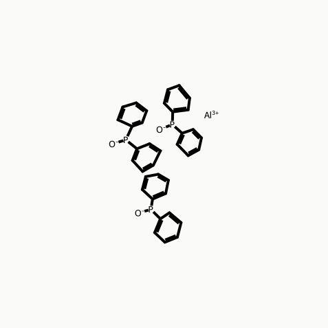 [Al+3].[O-]P(c1ccccc1)c1ccccc1.[O-]P(c1ccccc1)c1ccccc1.[O-]P(c1ccccc1)c1ccccc1